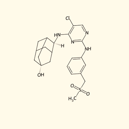 CS(=O)(=O)Cc1cccc(Nc2ncc(Cl)c(N[C@H]3C4CC5CC3C[C@](O)(C5)C4)n2)c1